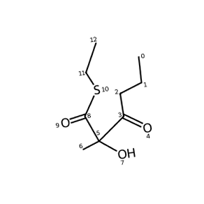 CCCC(=O)C(C)(O)C(=O)SCC